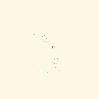 Cc1ccc(N2CCN(CCCc3ccc(C(=O)CCC(=O)O)cc3)CC2)cc1